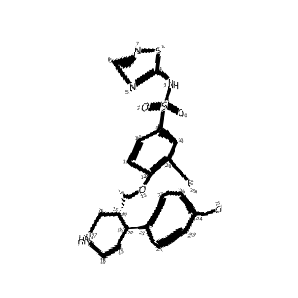 O=S(=O)(Nc1ncns1)c1ccc(OC[C@H]2CNCC[C@@H]2c2ccc(Cl)cc2)c(F)c1